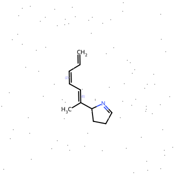 C=C/C=C\C=C(/C)C1CCC=N1